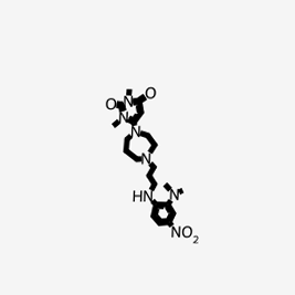 CN(C)c1cc([N+](=O)[O-])ccc1NCCCN1CCCN(c2cc(=O)n(C)c(=O)n2C)CC1